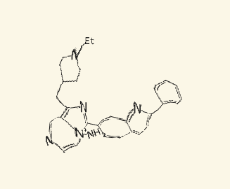 CCN1CCC(CC2=C3C=NC=C[N+]3(N)C(c3ccc4ccc(-c5ccccc5)nc4c3)=N2)CC1